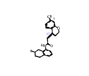 O=C(/C=C1\CCOc2cc(C(F)(F)F)ccc21)Nc1cccc2c1CC(I)CC2